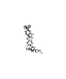 Cc1cc(-c2ccc(CN3CCc4cc([N+](=O)[O-])ccc43)cc2)[nH]n1